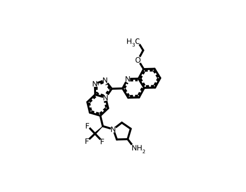 CCOc1cccc2ccc(-c3nnc4ccc([C@@H](N5CCC(N)C5)C(F)(F)F)cn34)nc12